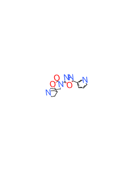 O=C1OC2(CN3CCC2CC3)CN1c1nnc(-c2cccnc2)o1